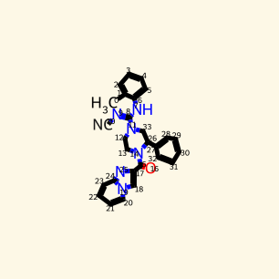 Cc1ccccc1N/C(=N/C#N)N1CCN(C(=O)c2cn3ccccc3n2)C(c2ccccc2)C1